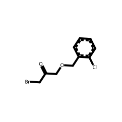 O=C(CBr)COCc1ccccc1Cl